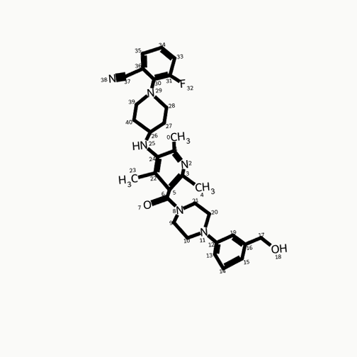 Cc1nc(C)c(C(=O)N2CCN(c3cccc(CO)c3)CC2)c(C)c1NC1CCN(c2c(F)cccc2C#N)CC1